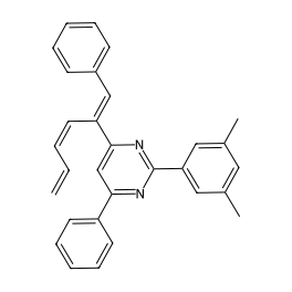 C=C/C=C\C(=C/c1ccccc1)c1cc(-c2ccccc2)nc(-c2cc(C)cc(C)c2)n1